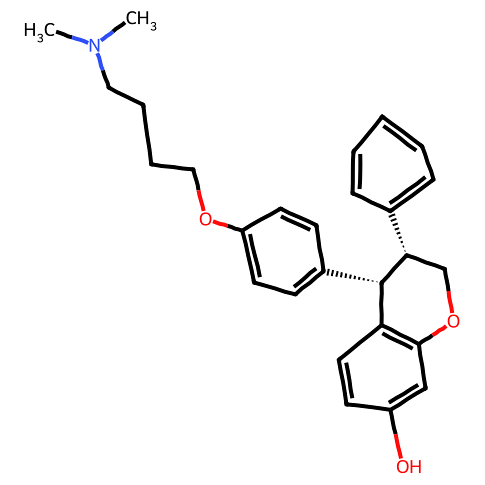 CN(C)CCCCOc1ccc([C@H]2c3ccc(O)cc3OC[C@H]2c2ccccc2)cc1